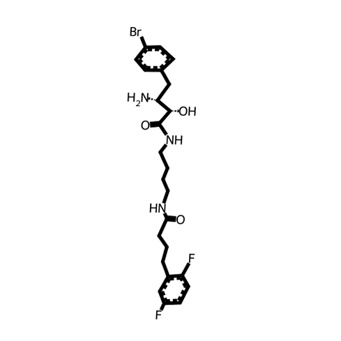 N[C@H](Cc1ccc(Br)cc1)[C@H](O)C(=O)NCCCCNC(=O)CCCc1cc(F)ccc1F